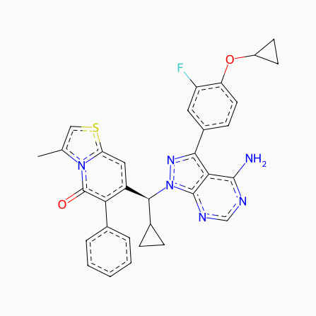 Cc1csc2cc([C@H](C3CC3)n3nc(-c4ccc(OC5CC5)c(F)c4)c4c(N)ncnc43)c(-c3ccccc3)c(=O)n12